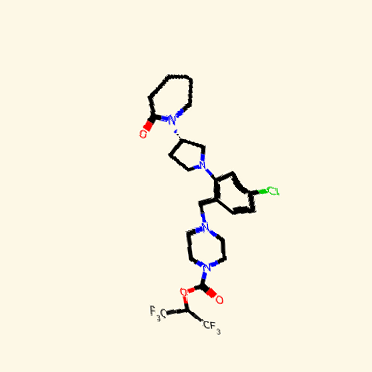 O=C(OC(C(F)(F)F)C(F)(F)F)N1CCN(Cc2ccc(Cl)cc2N2CC[C@H](N3CCCCC3=O)C2)CC1